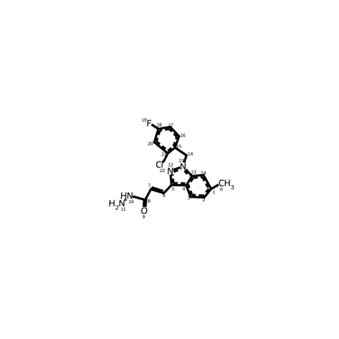 Cc1ccc2c(C=CC(=O)NN)nn(Cc3ccc(F)cc3Cl)c2c1